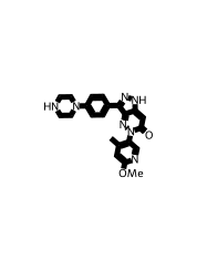 COc1cc(C)c(-n2nc3c(-c4ccc(N5CCNCC5)cc4)n[nH]c3cc2=O)cn1